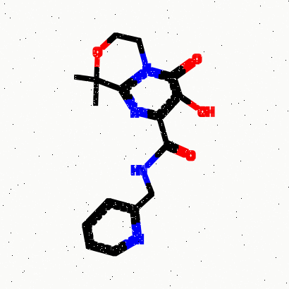 CC1(C)OCCn2c1nc(C(=O)NCc1ccccn1)c(O)c2=O